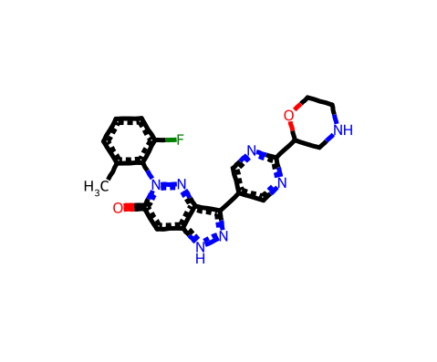 Cc1cccc(F)c1-n1nc2c(-c3cnc(C4CNCCO4)nc3)n[nH]c2cc1=O